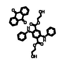 O=C(OCCO)c1cc(Nc2ccccc2)c(C(=O)OCCO)cc1Nc1ccccc1.O=C1c2ccccc2C(=O)c2ccccc21